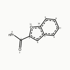 CCCC(=O)c1cc2ccccc2o1